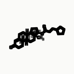 C[C@]12CC[C@H]3[C@@H](CCC4=CC(=O)CC[C@@H]43)[C@@H]1CC[C@@H]2OC(=O)CCC1CCCC1